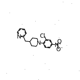 O=[N+]([O-])c1ccc(N2CCC(Cc3ccccn3)CC2)c(Cl)c1